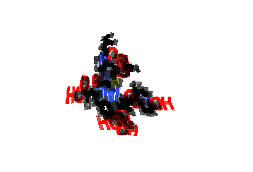 C=C(CC)CC(=O)N(C)[C@H](C[C@@H](OC(C)=O)c1nc(C(=O)N[C@@H](Cc2ccc(OP(=O)(O)O)c(NC(=O)C(C)(C)COC(C)(C)CCN3C(=O)C=CC3O)c2)CC(C)C(=O)O)cs1)C(C)C